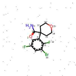 NC(=O)C1(c2cc(F)cc(Br)c2F)CCOCC1